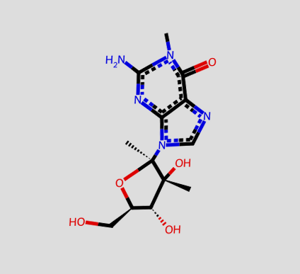 Cn1c(N)nc2c(ncn2[C@]2(C)O[C@H](CO)[C@@H](O)[C@@]2(C)O)c1=O